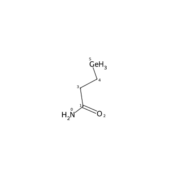 NC(=O)C[CH2][GeH3]